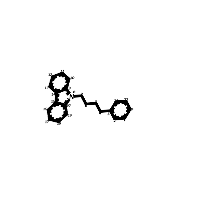 c1ccc(CCCCn2c3ccccc3c3ccccc32)cc1